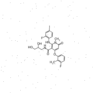 Cc1c(F)cccc1Oc1cc(=O)n(C)c(Nc2ccc(I)cc2F)c1C(=O)NCC(O)CO